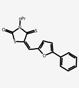 CCCN1C(=O)SC(=Cc2ccc(-c3ccccc3)o2)C1=S